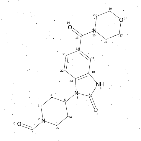 O=CN1CCC(n2c(=O)[nH]c3cc(C(=O)N4CCOCC4)ccc32)CC1